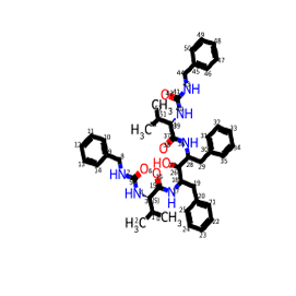 CC(C)[C@H](NC(=O)NCc1ccccc1)C(=O)NC(Cc1ccccc1)C(O)C(Cc1ccccc1)NC(=O)[C@@H](NC(=O)NCc1ccccc1)C(C)C